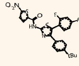 CC(C)(C)c1ccc(-c2nc(NC(=O)c3ccc([N+](=O)[O-])s3)sc2-c2ccc(F)cc2F)cc1